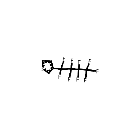 FC(F)(F)C(F)(F)C(F)(F)C(F)(F)c1ccsc1